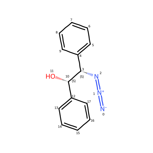 [N-]=[N+]=N[C@@H](c1ccccc1)[C@@H](O)c1ccccc1